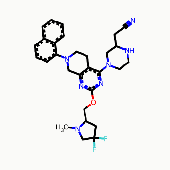 CN1CC(F)(F)CC1COc1nc2c(c(N3CCNC(CC#N)C3)n1)CCN(c1cccc3ccccc13)C2